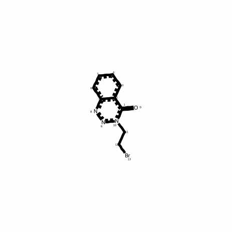 O=c1c2ccccc2nnn1CCBr